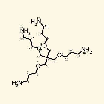 NCCCOCC(COCCCN)(COCCCN)COCCCN